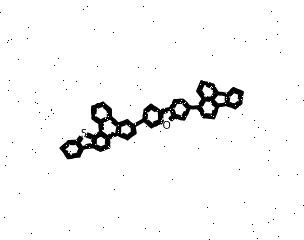 c1ccc2c(c1)-c1cccc3c(-c4ccc5c(c4)oc4cc(-c6ccc7c(c6)c6ccccc6c6c7ccc7c8ccccc8sc76)ccc45)ccc-2c13